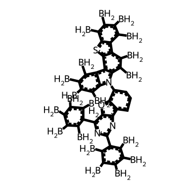 Bc1c(B)c(B)c(-c2nc(-c3c(B)c(B)c(B)c(B)c3B)c3oc4c(-n5c6c(B)c(B)c(B)c(B)c6c6c7sc8c(B)c(B)c(B)c(B)c8c7c(B)c(B)c65)cccc4c3n2)c(B)c1B